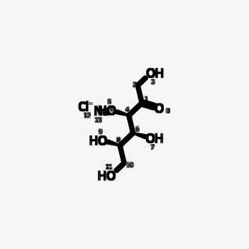 O=C(CO)[C@H](O)[C@@H](O)[C@H](O)CO.[Cl-].[Na+]